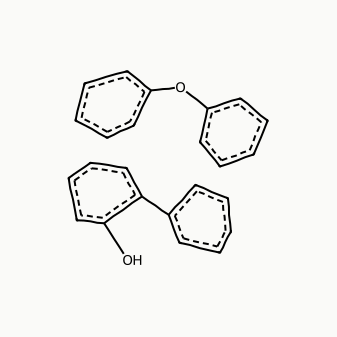 Oc1ccccc1-c1ccccc1.c1ccc(Oc2ccccc2)cc1